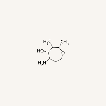 CC1C(O)C(N)CCO[C@H]1C